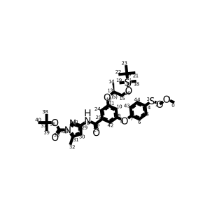 COOSc1ccc(Oc2cc(O[C@@H](C)CO[Si](C)(C)C(C)(C)C)cc(C(=O)Nc3cc(C)n(C(=O)OC(C)(C)C)n3)c2)cc1